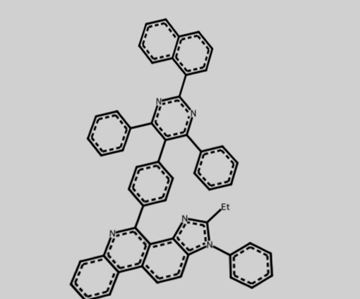 CCc1nc2c3c(-c4ccc(-c5c(-c6ccccc6)nc(-c6cccc7ccccc67)nc5-c5ccccc5)cc4)nc4ccccc4c3ccc2n1-c1ccccc1